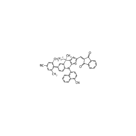 Cc1cc(C#N)cc(C)c1-c1ccc2c(c1)C(C)(C)c1cc(C=C3C(=O)c4ccccc4C3=O)sc1N2c1ccc(C#N)c2ccccc12